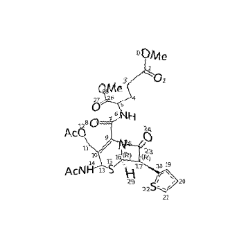 COC(=O)CCC(NC(=O)C1=C(COC(C)=O)C(NC(C)=O)S[C@@H]2[C@H](c3cccs3)C(=O)N12)C(=O)OC